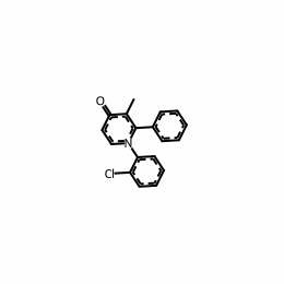 Cc1c(-c2ccccc2)n(-c2ccccc2Cl)ccc1=O